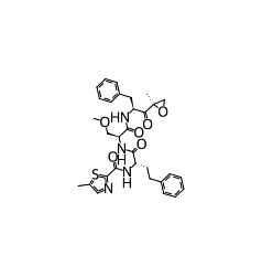 COC[C@H](NC(=O)[C@H](CCc1ccccc1)NC(=O)c1ncc(C)s1)C(=O)N[C@@H](Cc1ccccc1)C(=O)[C@@]1(C)CO1